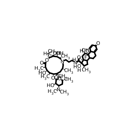 CC[C@H]1OC(=O)[C@H](C)[C@@H](O)[C@H](C)[C@@H](O[C@@H]2O[C@H](C)C[C@@H](N(C)C)[C@H]2O)[C@](C)(O)C[C@@H](C)CN(CCCNC(=O)[C@@]2(O)[C@H](C)CC3C4CCC5=CC(=O)C=C[C@]5(C)[C@@]4(F)[C@@H](O)C[C@@]32C)[C@H](C)[C@@H](O)[C@]1(C)O